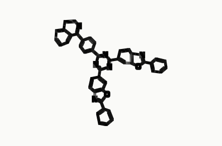 c1ccc(-c2nc3ccc(-c4nc(-c5ccc(-c6nccc7ccccc67)cc5)nc(-c5ccc6nc(-c7ccccc7)oc6c5)n4)cc3o2)cc1